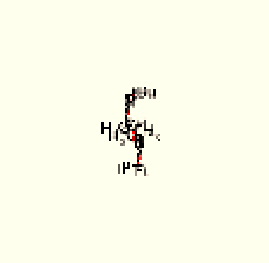 CCC(CCCCCCCN1CCC(C(C)(C)CCC(C)(C)CCCCCCCN2CCC(C(C)(C)C)CC2)CC1)C(C)C